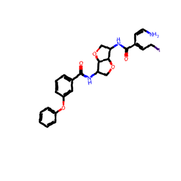 N/C=C\C(=C/CI)C(=O)NC1COC2C(NC(=O)c3cccc(Oc4ccccc4)c3)COC12